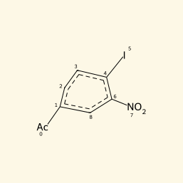 CC(=O)c1ccc(I)c([N+](=O)[O-])c1